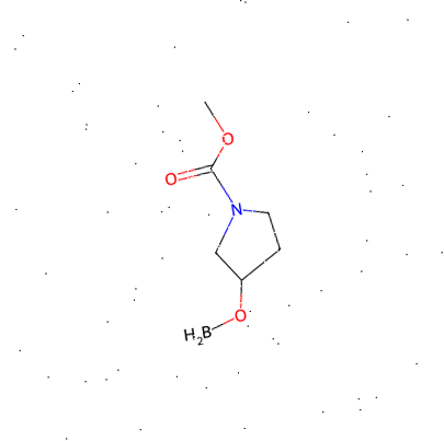 BOC1CCN(C(=O)OC)C1